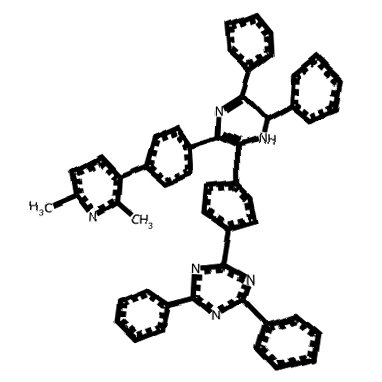 Cc1ccc(-c2ccc(C3=C(c4ccc(-c5nc(-c6ccccc6)nc(-c6ccccc6)n5)cc4)NC(c4ccccc4)C(c4ccccc4)=N3)cc2)c(C)n1